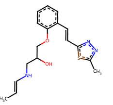 CC=CNCC(O)COc1ccccc1C=Cc1nnc(C)s1